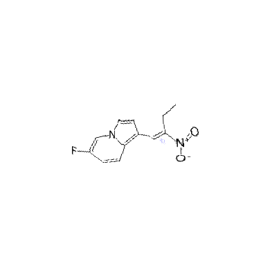 CC/C(=C\c1ccn2cc(F)ccc12)[N+](=O)[O-]